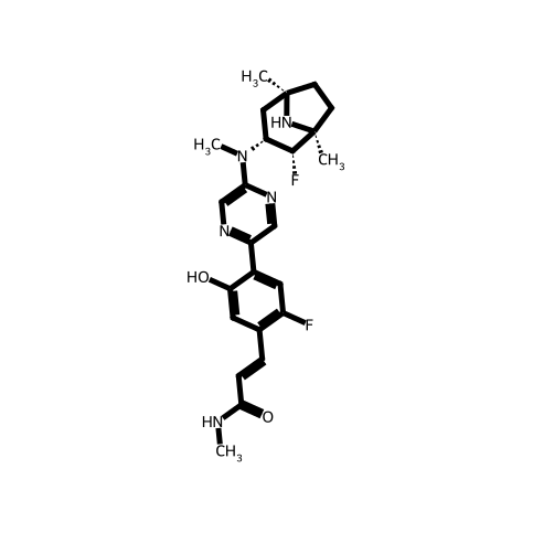 CNC(=O)/C=C/c1cc(O)c(-c2cnc(N(C)[C@@H]3C[C@@]4(C)CC[C@](C)(N4)[C@@H]3F)cn2)cc1F